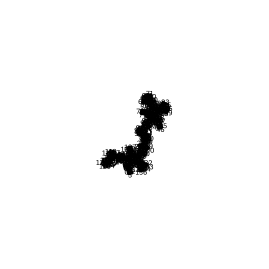 CC(C)(C)c1ccc2c(c1)B1c3cc4c(cc3N(c3ccc5c(c3)C(C)(C)C(c3ccc6oc7c(-c8ccc(N9c%10cc(C(C)(C)C)ccc%10B%10c%11cc%12c(cc%11N(c%11ccc%13c(c%11)C(C)(C)CCC%13(C)C)c%11cc(C(C)(C)C)cc9c%11%10)C(C)(C)CCC%12(C)C)cc8)cccc7c6c3)C5(C)C)c3cc(C(C)(C)C)cc(c31)N2c1ccc(-c2cccc3c2oc2ccccc23)cc1)C(C)(C)CC4(C)C